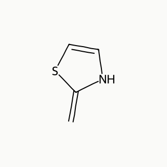 C=C1NC=CS1